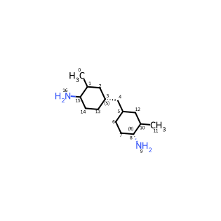 CC1C[C@H](CC2CC[C@@H](N)C(C)C2)CCC1N